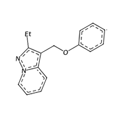 CCc1nn2ccccc2c1COc1cc[c]cc1